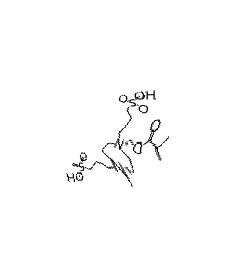 C=C(C)C(=O)OC[N+]1(CCCS(=O)(=O)O)CC[N+](C)(CCCS(=C)(=O)O)CC1